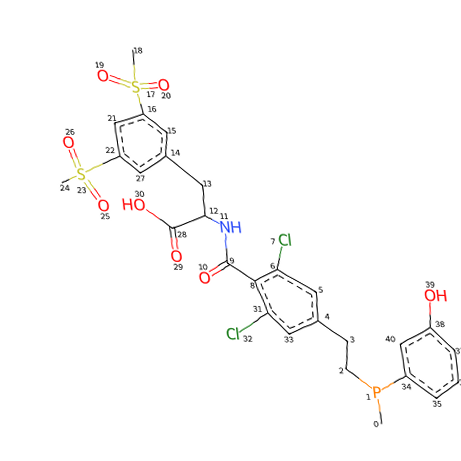 CP(CCc1cc(Cl)c(C(=O)NC(Cc2cc(S(C)(=O)=O)cc(S(C)(=O)=O)c2)C(=O)O)c(Cl)c1)c1cccc(O)c1